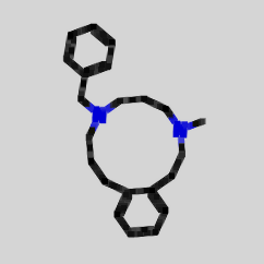 CN1CCCN(Cc2ccccc2)CCCc2ccccc2CC1